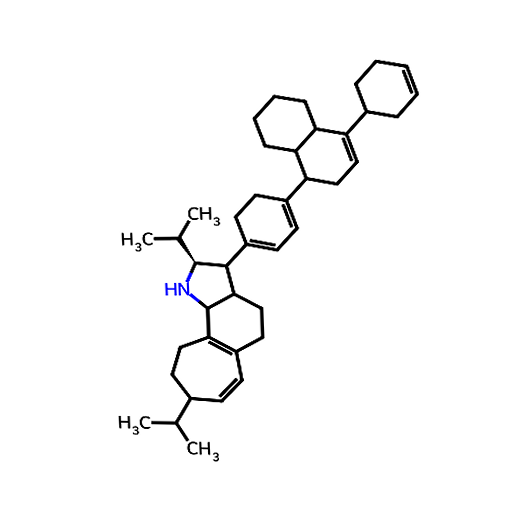 CC(C)C1C=CC2=C(CC1)C1N[C@@H](C(C)C)C(C3=CC=C(C4CC=C(C5CC=CCC5)C5CCCCC45)CC3)C1CC2